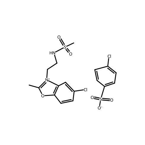 Cc1oc2ccc(Cl)cc2[n+]1CCNS(C)(=O)=O.O=S(=O)([O-])c1ccc(Cl)cc1